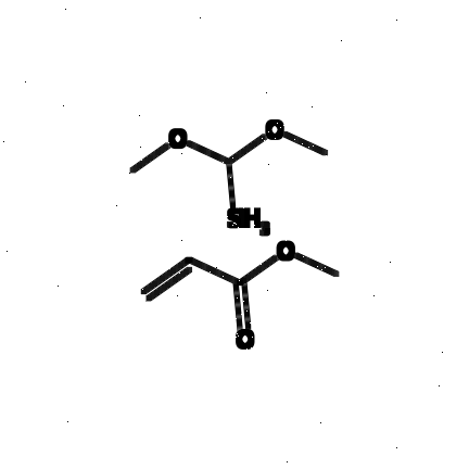 C=CC(=O)OC.COC([SiH3])OC